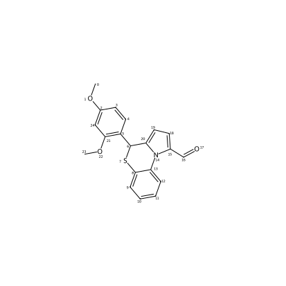 COc1ccc(C2Sc3ccccc3-n3c(C=O)ccc32)c(OC)c1